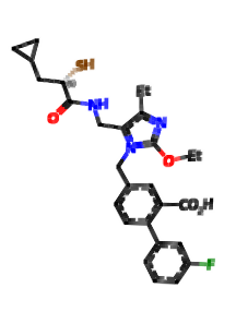 CCOc1nc(CC)c(CNC(=O)[C@@H](S)CC2CC2)n1Cc1ccc(-c2cccc(F)c2)c(C(=O)O)c1